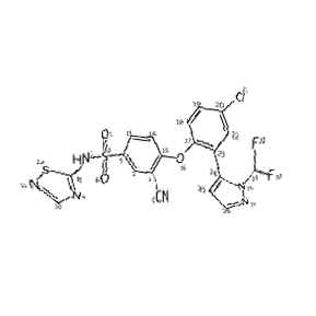 N#Cc1cc(S(=O)(=O)Nc2ncns2)ccc1Oc1ccc(Cl)cc1-c1ccnn1C(F)F